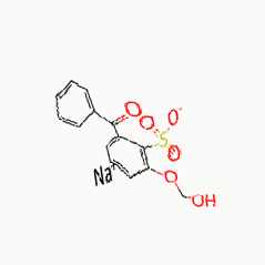 O=C(c1ccccc1)c1cccc(OCO)c1S(=O)(=O)[O-].[Na+]